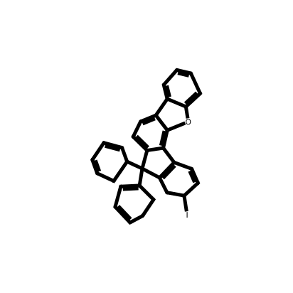 IC1C=CC2=C(C1)C(C1=CC=CCC1)(C1C=CC=CC1)c1ccc3c(oc4ccccc43)c12